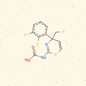 O=C(O)NC1=NC(CF)(c2cccc(F)c2F)C=CS1